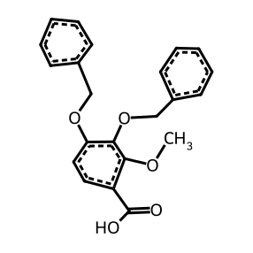 COc1c(C(=O)O)ccc(OCc2ccccc2)c1OCc1ccccc1